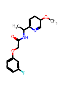 COC1C=NC(C(C)NC(=O)COc2cccc(F)c2)=CC1